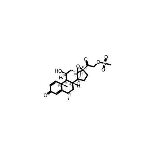 C[C@H]1C[C@@H]2[C@H]([C@@H](O)C[C@]34O[C@]3(C(=O)COS(C)(=O)=O)CC[C@@H]24)[C@@]2(C)C=CC(=O)C=C12